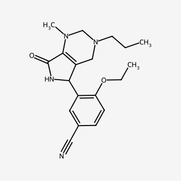 CCCN1CC2=C(C(=O)NC2c2cc(C#N)ccc2OCC)N(C)C1